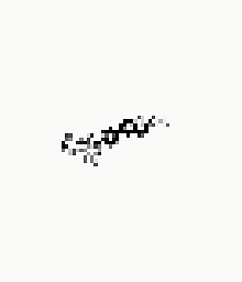 Cc1ccc2cc(C3CCN(C(=O)OC(C)(C)C)CC3)ccc2n1